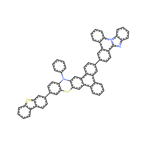 c1ccc(N2c3ccc(-c4ccc5c(c4)sc4ccccc45)cc3Sc3cc4c5ccccc5c5cc(-c6ccc7c(c6)c6ccccc6n6c8ccccc8nc76)ccc5c4cc32)cc1